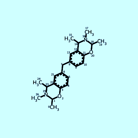 CC1Oc2ccc(Cc3ccc4c(c3)C(C)N(C)C(C)O4)cc2C(C)N1C